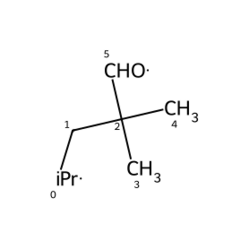 C[C](C)CC(C)(C)[C]=O